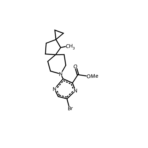 COC(=O)c1nc(Br)cnc1N1CCC2(CC1)CCC1(CC1)C2C